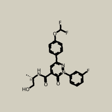 C[C@@H](CO)NC(=O)c1cc(-c2ccc(OC(F)F)cc2)nn(-c2cccc(F)c2)c1=O